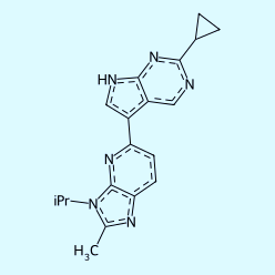 Cc1nc2ccc(-c3c[nH]c4nc(C5CC5)ncc34)nc2n1C(C)C